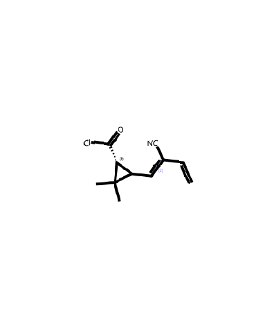 C=C/C(C#N)=C/C1[C@@H](C(=O)Cl)C1(C)C